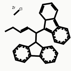 CCC=CC(C1=c2ccccc2=C2C=CC=CC21)C1c2ccccc2-c2ccccc21.CCl.[Zr]